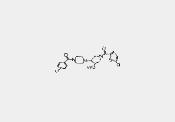 O=C(c1ccc(Cl)cc1)N1CCN(C2CN(C(=O)c3ccc(Cl)s3)CC2O)CC1